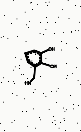 [NH]Cc1cccc(O)c1O